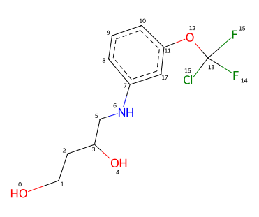 OCCC(O)CNc1cccc(OC(F)(F)Cl)c1